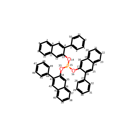 c1ccc(-c2cc3ccccc3cc2OP(Oc2cc3ccccc3cc2-c2ccccc2)Oc2cc3ccccc3cc2-c2ccccc2)cc1